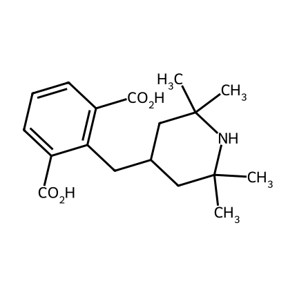 CC1(C)CC(Cc2c(C(=O)O)cccc2C(=O)O)CC(C)(C)N1